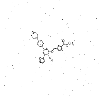 COC(=O)c1cc(COc2nc(-c3ccc(N4CCOCC4)cc3)cc(-c3ccno3)c2C#N)cs1